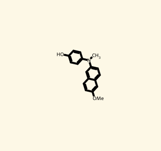 COc1ccc2cc(N(C)c3ccc(O)cc3)ccc2c1